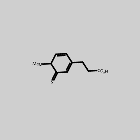 COC1C=CC(CCC(=O)O)=CC1=S